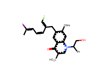 COc1cc2c(cc1CC(/C=C\C=C(/C)I)=C\F)c(=O)c(C(=O)O)cn2C(CO)C(C)C